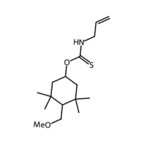 C=CCNC(=S)OC1CC(C)(C)C(COC)C(C)(C)C1